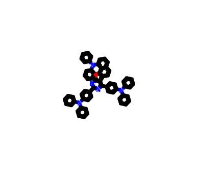 c1ccc(N(c2ccccc2)c2ccc(-c3nc(-c4ccc(N(c5ccccc5)c5ccccc5)cc4)c4c(n3)oc3c4ccc4cccc(N(c5ccccc5)c5ccccc5)c43)cc2)cc1